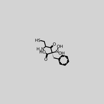 NC(CS)C(=O)[C@](Cc1ccccc1)(C(=O)O)N(O)O